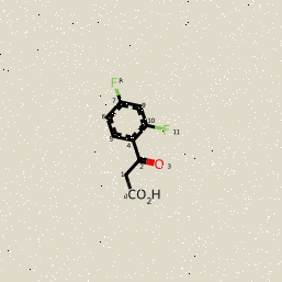 O=C(O)CC(=O)c1ccc(F)cc1F